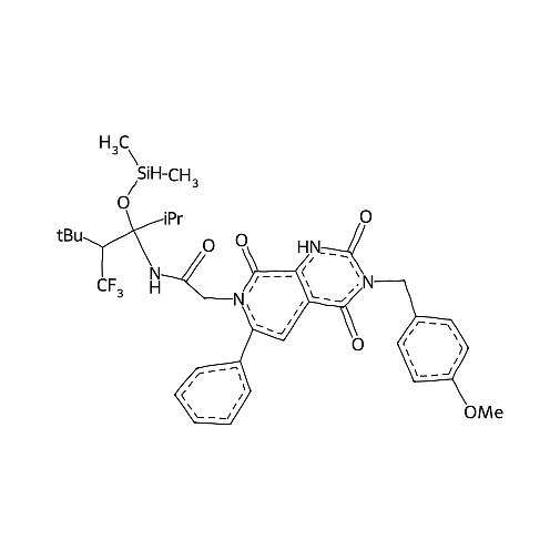 COc1ccc(Cn2c(=O)[nH]c3c(=O)n(CC(=O)NC(O[SiH](C)C)(C(C)C)C(C(C)(C)C)C(F)(F)F)c(-c4ccccc4)cc3c2=O)cc1